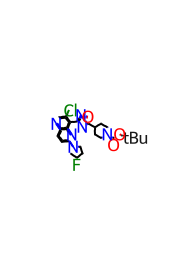 CC(C)(C)OC(=O)N1CCC(c2nc(-c3c(Cl)cnc4ccc(N5CCC(F)C5)nc34)no2)CC1